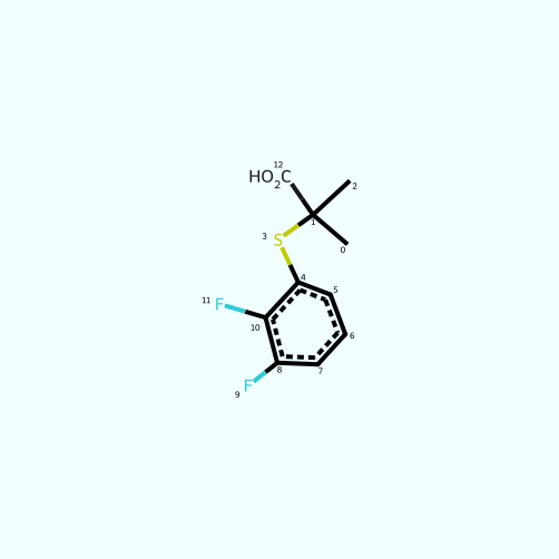 CC(C)(Sc1cccc(F)c1F)C(=O)O